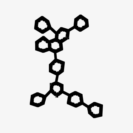 c1ccc(-c2ccc(-c3cc(-c4ccc(-c5cc6nc(-c7ccccc7)cc(-c7ccccc7)c6c6ccccc56)cc4)nc(-c4ccccc4)n3)cc2)cc1